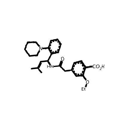 CCOc1cc(CC(=O)NC(C=C(C)C)c2ccccc2N2CCCCC2)ccc1C(=O)O